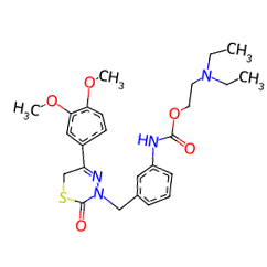 CCN(CC)CCOC(=O)Nc1cccc(CN2N=C(c3ccc(OC)c(OC)c3)CSC2=O)c1